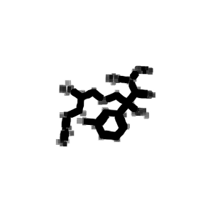 CON(C)C(=O)C(C)(COCC(C)CN=[N+]=[N-])c1cccc(I)c1